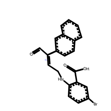 O=C/C(=C/CNc1ccc(Br)cc1C(=O)O)c1ccc2ccccc2c1